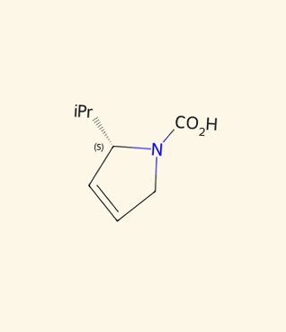 CC(C)[C@H]1C=CCN1C(=O)O